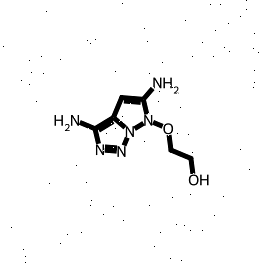 Nc1nnn2c1cc(N)n2OCCO